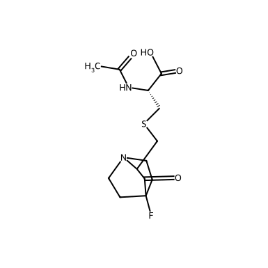 CC(=O)N[C@@H](CSCC1C(=O)C2(F)CCN1CC2)C(=O)O